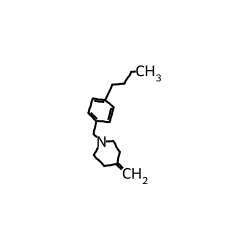 C=C1CCN(Cc2ccc(CCCC)cc2)CC1